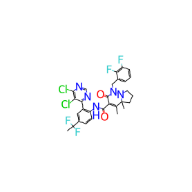 CC1=C(C(=O)Nc2ccc(C(C)(F)F)cc2-c2ncnc(Cl)c2Cl)C(=O)N(Cc2cccc(F)c2F)N2CCCC12C